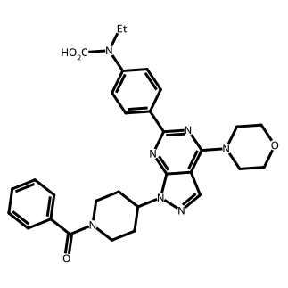 CCN(C(=O)O)c1ccc(-c2nc(N3CCOCC3)c3cnn(C4CCN(C(=O)c5ccccc5)CC4)c3n2)cc1